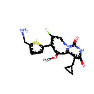 COc1c(-c2ccc(CN)s2)c(F)cn2c(=O)[nH]c(=O)c(C3CC3)c12